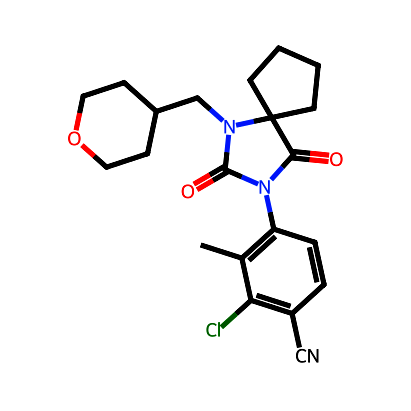 Cc1c(N2C(=O)N(CC3CCOCC3)C3(CCCC3)C2=O)ccc(C#N)c1Cl